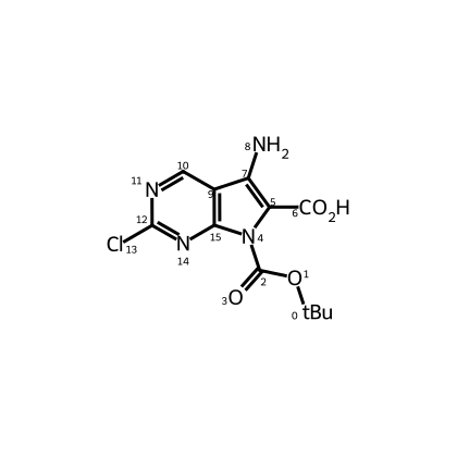 CC(C)(C)OC(=O)n1c(C(=O)O)c(N)c2cnc(Cl)nc21